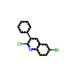 Clc1nc2ccc(Br)cc2cc1-c1ccccc1